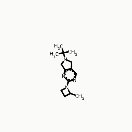 CC1CCN1c1ncc2c(n1)CN(C(C)(C)C)C2